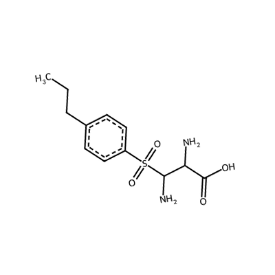 CCCc1ccc(S(=O)(=O)C(N)C(N)C(=O)O)cc1